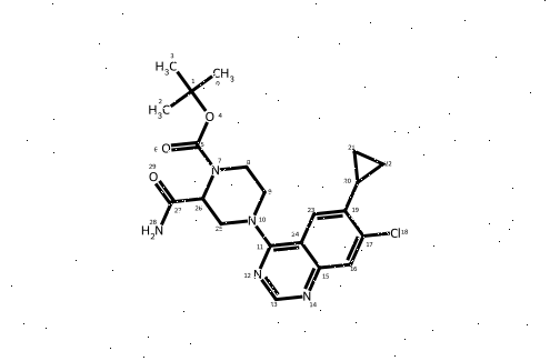 CC(C)(C)OC(=O)N1CCN(c2ncnc3cc(Cl)c(C4CC4)cc23)CC1C(N)=O